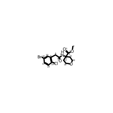 COC(=O)C1(NC(=O)Cc2cc(Br)ccc2Cl)CCOCC1